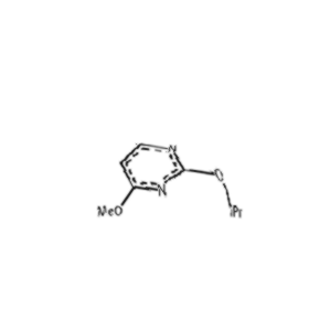 COc1c[c]nc(OC(C)C)n1